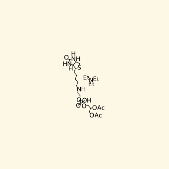 CC(=O)OCC(COP(=O)(O)OCCNCCCCCC1SC[C@@H]2NC(=O)N[C@H]12)OC(C)=O.CCN(CC)CC